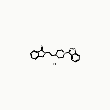 Cl.O=C1c2ccccc2CN1CCN1CCN(c2nsc3ccccc23)CC1